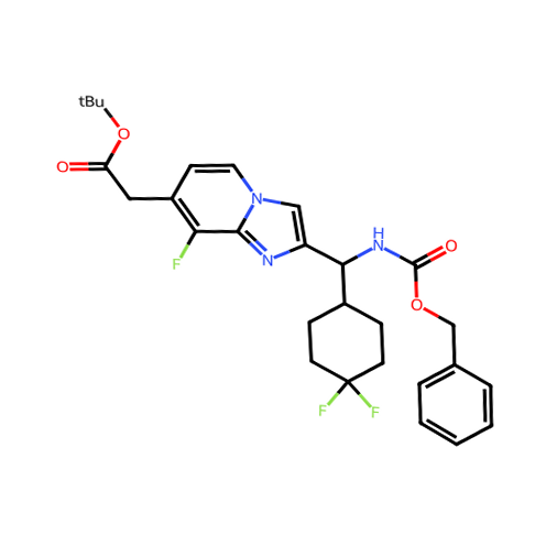 CC(C)(C)OC(=O)Cc1ccn2cc(C(NC(=O)OCc3ccccc3)C3CCC(F)(F)CC3)nc2c1F